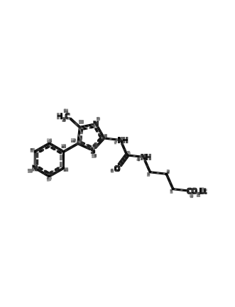 CCOC(=O)CCCNC(=O)Nc1nc(C)c(-c2ccncc2)s1